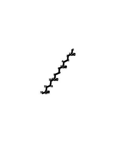 C[Se]CCC[Se]CCC[Se]CCC[Se]C